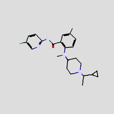 Cc1ccc(N(C)C2CCN(C(C)C3CC3)CC2)c(C(=O)Nc2ccc(Cl)cn2)c1